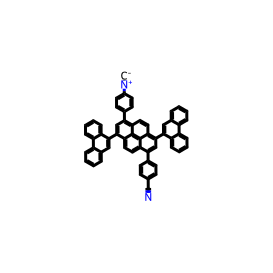 [C-]#[N+]c1ccc(-c2cc(-c3cc4ccccc4c4ccccc34)c3ccc4c(-c5ccc(C#N)cc5)cc(-c5cc6ccccc6c6ccccc56)c5ccc2c3c45)cc1